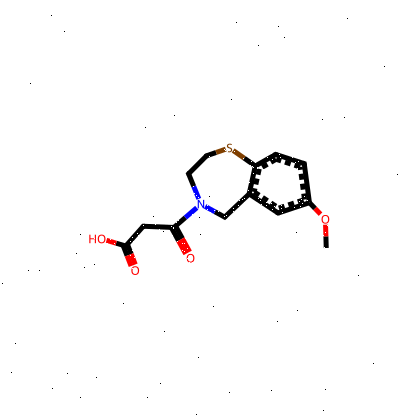 COc1ccc2c(c1)CN(C(=O)CC(=O)O)CCS2